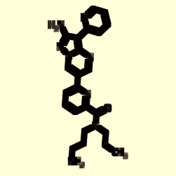 CCCN(CCCN)C(=O)c1cccc(-c2cnc3c(-c4ccccn4)c(N)nn3c2)n1